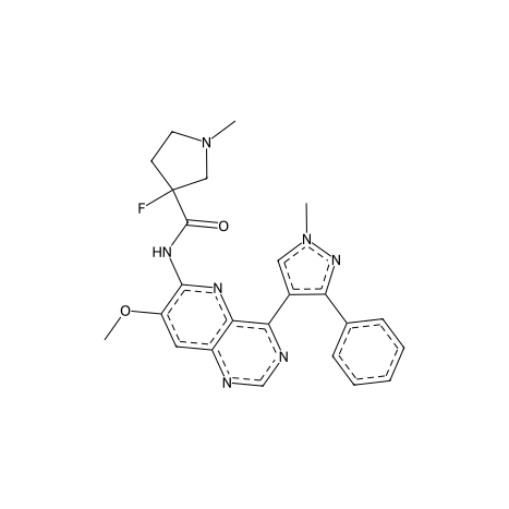 COc1cc2ncnc(-c3cn(C)nc3-c3ccccc3)c2nc1NC(=O)C1(F)CCN(C)C1